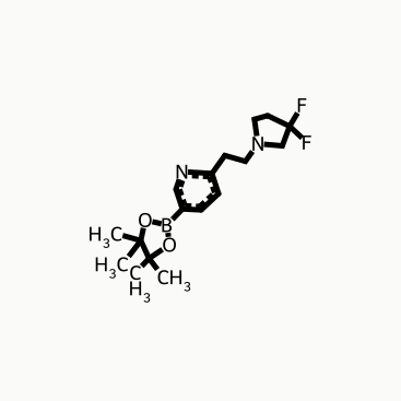 CC1(C)OB(c2ccc(CCN3CCC(F)(F)C3)nc2)OC1(C)C